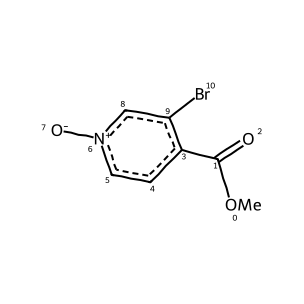 COC(=O)c1cc[n+]([O-])cc1Br